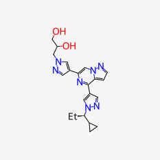 CC[C@H](C1CC1)n1cc(-c2nc(-c3cnn(CC(O)CO)c3)cn3nccc23)cn1